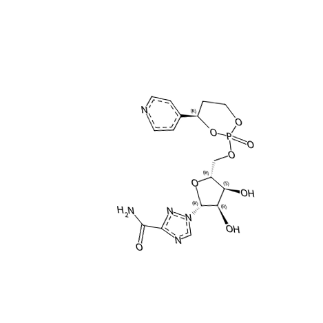 NC(=O)c1ncn([C@@H]2O[C@H](COP3(=O)OCC[C@H](c4ccncc4)O3)[C@@H](O)[C@H]2O)n1